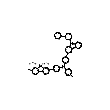 CCCCCCCCC1(CCCCCCCC)c2cc(C)ccc2-c2ccc(-c3ccc(N(c4ccc(C)cc4)c4ccc(-c5ccc6c(c5)c5ccccc5n6-c5cccc(-c6ccccc6)c5)cc4)cc3)cc21